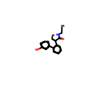 CC(C)CC(C(=O)NCC#N)c1ccc[c]c1-c1cccc(O)c1